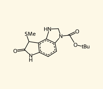 CSC1C(=O)Nc2ccc3c(c21)NCN3C(=O)OC(C)(C)C